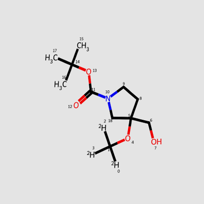 [2H]C([2H])([2H])OC1(CO)CCN(C(=O)OC(C)(C)C)C1